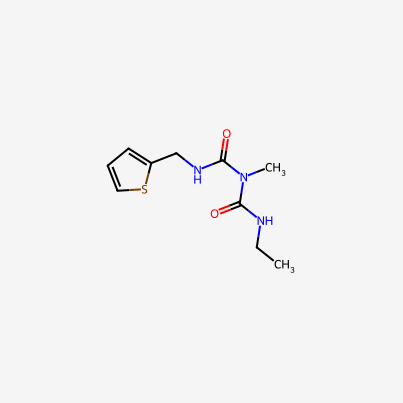 CCNC(=O)N(C)C(=O)NCc1cccs1